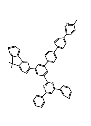 Cc1ccc(-c2ccc(-c3ccc(-c4cc(-c5ccc6c(c5)-c5ccccc5C6(C)C)cc(-c5nc(-c6ccccc6)cc(-c6ccccc6)n5)c4)cc3)cc2)cn1